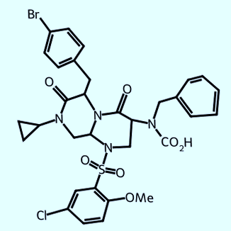 COc1ccc(Cl)cc1S(=O)(=O)N1CC(N(Cc2ccccc2)C(=O)O)C(=O)N2C(Cc3ccc(Br)cc3)C(=O)N(C3CC3)CC21